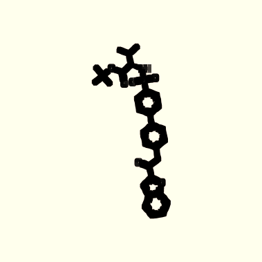 CC(C)[C@@H](NS(=O)(=O)c1ccc(-c2ccc(CC(=O)c3cc4ccccc4o3)cc2)cc1)C(=O)OC(C)(C)C